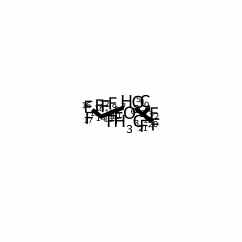 CCC(C)(C(=O)OCC(F)(F)C(F)(F)CC(F)(F)F)C(F)(F)F